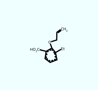 C=CCOc1c(CC)cccc1C(=O)O